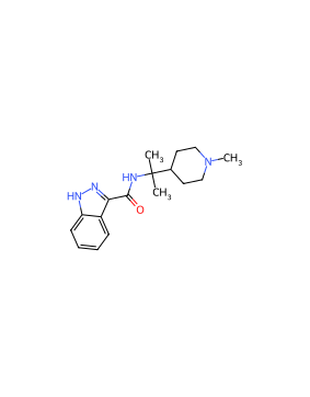 CN1CCC(C(C)(C)NC(=O)c2n[nH]c3ccccc23)CC1